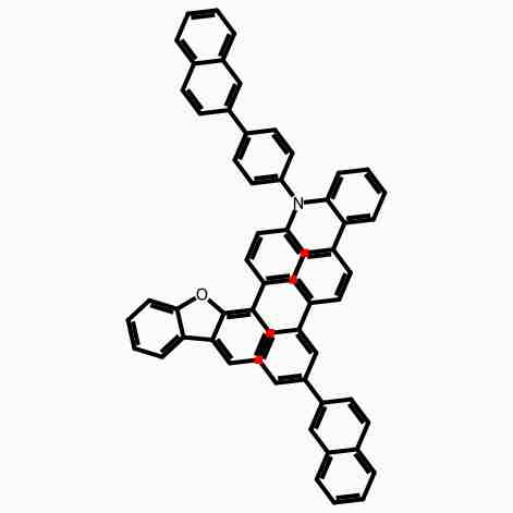 c1cc(-c2ccc(-c3ccccc3N(c3ccc(-c4ccc5ccccc5c4)cc3)c3ccc(-c4cccc5c4oc4ccccc45)cc3)cc2)cc(-c2ccc3ccccc3c2)c1